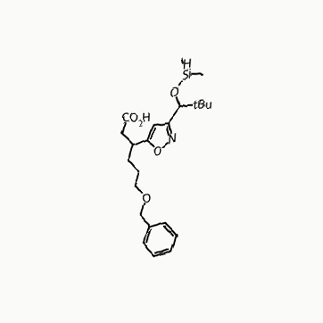 C[SiH](C)OC(c1cc(C(CCCOCc2ccccc2)CC(=O)O)on1)C(C)(C)C